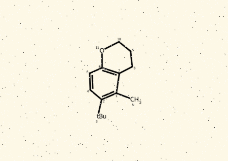 Cc1c(C(C)(C)C)ccc2c1CCCO2